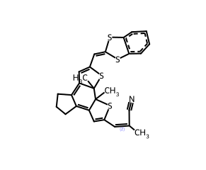 C/C(C#N)=C/C1=CC2=C3CCCC3=C3C=C(C=C4Sc5ccccc5S4)SC3(C)C2(C)S1